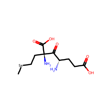 C[Se]CC[C@](N)(C(=O)O)C(=O)[C@@H](N)CCC(=O)O